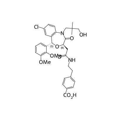 COc1cccc([C@H]2O[C@H](CC(=O)NCCc3ccc(C(=O)O)cc3)C(=O)N(CC(C)(C)CO)c3ccc(Cl)cc32)c1OC